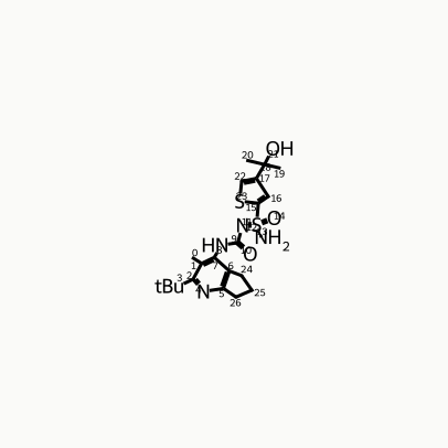 Cc1c(C(C)(C)C)nc2c(c1NC(=O)N=[S@@](N)(=O)c1cc(C(C)(C)O)cs1)CCC2